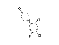 O=C1CCN(c2cc(F)c(Cl)cc2Cl)CC1